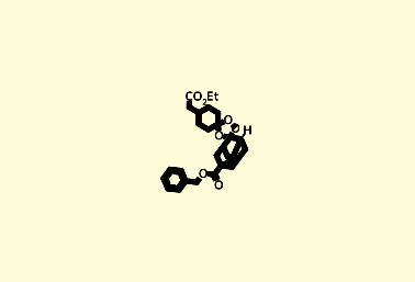 CCOC(=O)CC1CCC2(CC1)OOC1(O2)C2CC3C[C@H]1CC(C(=O)OCc1ccccc1)(C3)C2